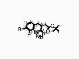 CC(C)(C)OC(=O)C[C@H](Cc1ccc(Br)c(F)c1)c1nnn[nH]1